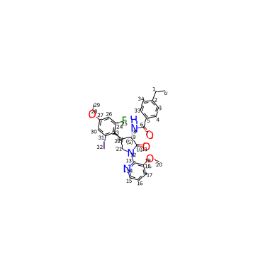 CCc1ccc(C(=O)N[C@@H]2C(=O)N(c3ncccc3OC)C[C@H]2c2c(F)cc(OC)cc2I)cc1